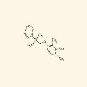 Cc1ccc(OC[Si](C)(C)c2ccccc2)c(C)c1O